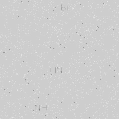 NC(=O)CNC(=O)c1ccc(Br)o1